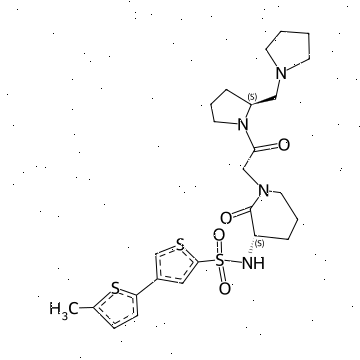 Cc1ccc(-c2csc(S(=O)(=O)N[C@H]3CCCN(CC(=O)N4CCC[C@H]4CN4CCCC4)C3=O)c2)s1